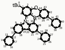 CC(C)(C)c1cc2c3c(c1)-n1c4ccc(-c5ccccc5)cc4c4cc(-c5ccccc5)cc(c41)B3c1cc(-c3ccccc3)ccc1O2